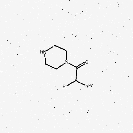 CCCC(CC)C(=O)N1CCNCC1